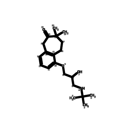 CC(C)(C)NCC(O)COc1cccc2c1CCC(C)(C)C(=O)C2